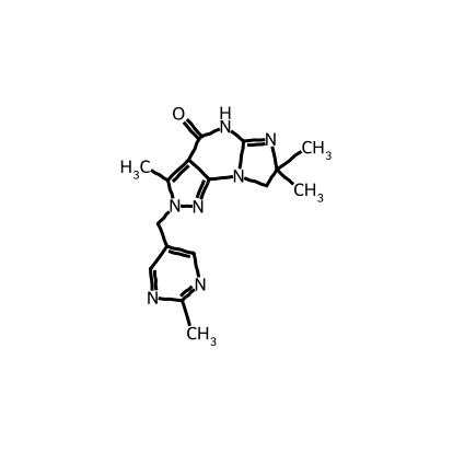 Cc1ncc(Cn2nc3c(c2C)C(=O)NC2=NC(C)(C)CN23)cn1